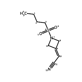 CCCCS(=O)(=O)N1CC(=CC#N)C1